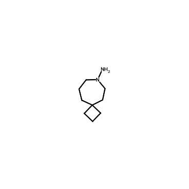 NN1CCCC2(CCC2)CC1